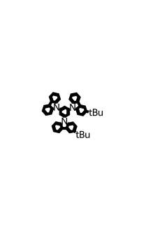 CC(C)(C)c1ccc2c(c1)c1ccccc1n2-c1cc(-n2c3ccccc3c3ccccc32)cc(-n2c3ccccc3c3cc(C(C)(C)C)ccc32)c1